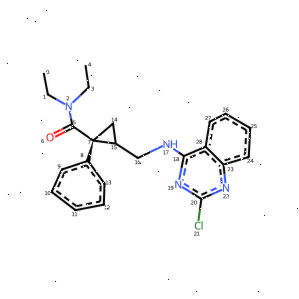 CCN(CC)C(=O)[C@]1(c2ccccc2)CC1CNc1nc(Cl)nc2ccccc12